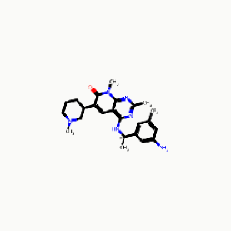 Cc1nc(N[C@H](C)c2cc(N)cc(C(F)(F)F)c2)c2cc(C3CCCN(C)C3)c(=O)n(C)c2n1